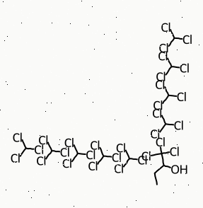 CCC(O)C(Cl)(Cl)Cl.ClC(Cl)Cl.ClC(Cl)Cl.ClC(Cl)Cl.ClC(Cl)Cl.ClC(Cl)Cl.ClC(Cl)Cl.ClC(Cl)Cl.ClC(Cl)Cl.ClC(Cl)Cl